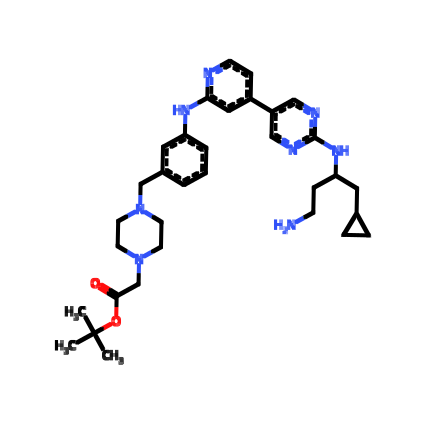 CC(C)(C)OC(=O)CN1CCN(Cc2cccc(Nc3cc(-c4cnc(NC(CCN)CC5CC5)nc4)ccn3)c2)CC1